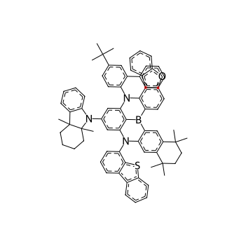 CC(C)(C)c1ccc(N2c3cc(N4c5ccccc5C5(C)CCCCC45C)cc4c3B(c3cc5c(cc3N4c3cccc4c3sc3ccccc34)C(C)(C)CCC5(C)C)c3ccc4oc5ccccc5c4c32)c(-c2ccccc2)c1